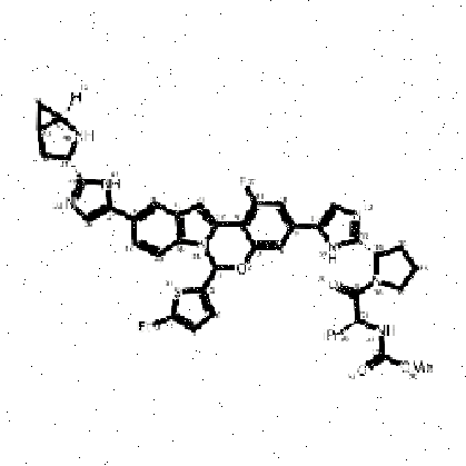 CCc1ccc(C2Oc3cc(-c4cnc([C@@H]5CCCN5C(=O)[C@@H](NC(=O)OC)C(C)C)[nH]4)cc(F)c3-c3cc4cc(-c5cnc([C@@H]6CC7C[C@H]7N6)[nH]5)ccc4n32)s1